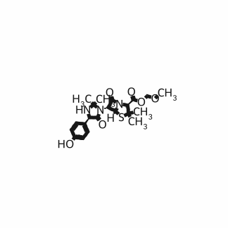 COCOC(=O)[C@@H]1N2C(=O)[C@@H](N3C(=O)[C@@H](c4ccc(O)cc4)NC3(C)C)[C@H]2SC1(C)C